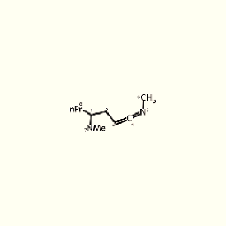 CCCC(CC=C=NC)NC